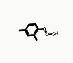 Cc1ccc(OOS)c(C)c1